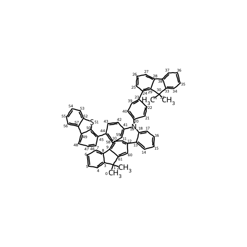 CC1(C)c2ccccc2-c2ccc(-c3ccccc3N(c3ccc(-c4cccc5c4C(C)(C)c4ccccc4-5)cc3)c3ccc(-c4cccc5c4sc4ccccc45)cc3)cc21